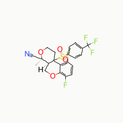 C[C@]1(C#N)OCC[C@]2(S(=O)(=O)c3ccc(C(F)(F)F)cc3)c3c(F)ccc(F)c3OC[C@@H]12